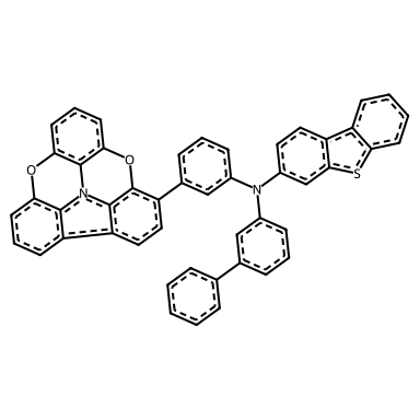 c1ccc(-c2cccc(N(c3cccc(-c4ccc5c6cccc7c6n6c5c4Oc4cccc(c4-6)O7)c3)c3ccc4c(c3)sc3ccccc34)c2)cc1